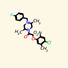 Cc1cc(OCC(=O)N2CC(C)N(Cc3ccc(F)cc3)CC2C)c([N+](=O)[O-])cc1Cl